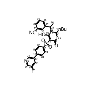 CCCCc1nc(=O)c(S(=O)(=O)c2ccc(-c3cncc(F)c3)cc2)c(O)n1C(C)c1cccc(C#N)c1